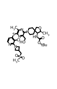 Cc1nc(N2CCC3(CC2)CO[C@@H](C)[C@H]3NC(=O)OC(C)(C)C)c(CO)nc1Sc1ccnc(N2CC(CS(C)(=O)=O)C2)c1Cl